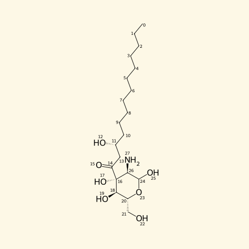 CCCCCCCCCCC[C@@H](O)CC(=O)[C@]1(O)[C@H](O)[C@@H](CO)OC(O)[C@@H]1N